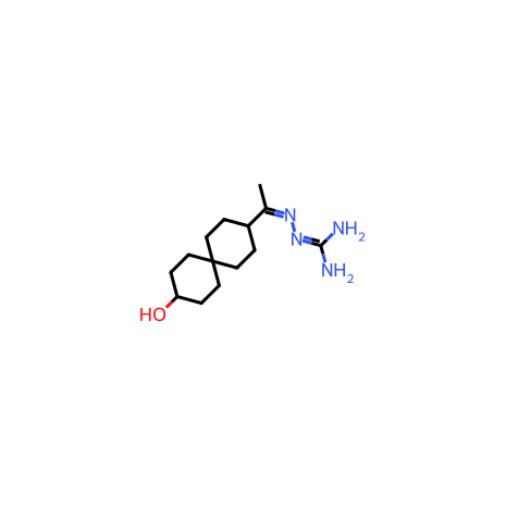 C/C(=N/N=C(N)N)C1CCC2(CCC(O)CC2)CC1